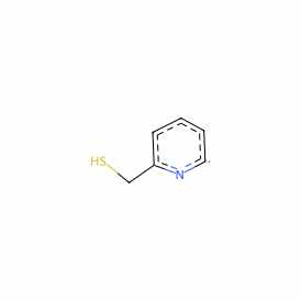 SCc1ccc[c]n1